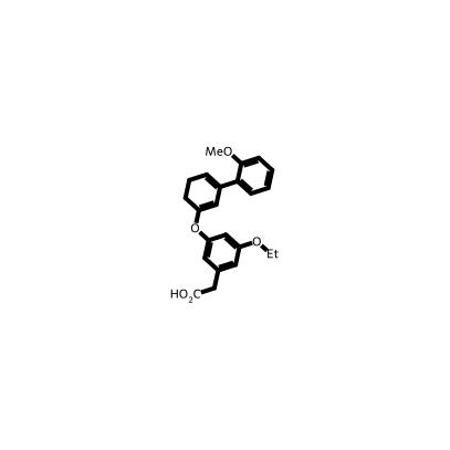 CCOc1cc(CC(=O)O)cc(OC2=CC(c3ccccc3OC)=CCC2)c1